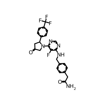 NC(=O)Cc1ccc(CNc2ncnc(N3CC(=O)CC3c3ccc(C(F)(F)F)cc3)c2F)cc1